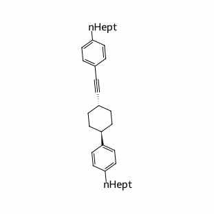 CCCCCCCc1ccc(C#C[C@H]2CC[C@H](c3ccc(CCCCCCC)cc3)CC2)cc1